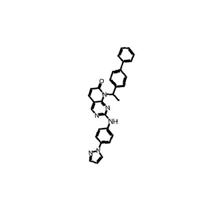 CC(c1ccc(-c2ccccc2)cc1)n1c(=O)ccc2cnc(Nc3ccc(-n4cccn4)cc3)nc21